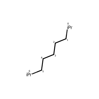 [CH2]C(C)CCCCCC(C)C